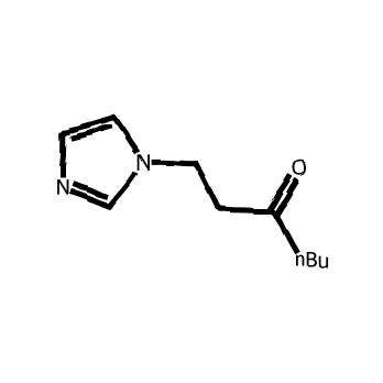 CCCCC(=O)CCn1ccnc1